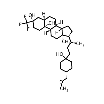 COC[C@H]1CC[C@@](O)(CC[C@H](C)[C@@H]2CC[C@H]3[C@@H]4CC[C@H]5C[C@](O)(C(F)(F)F)CC[C@]5(C)[C@H]4CC[C@@]32C)CC1